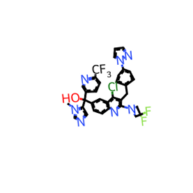 Cn1cncc1C(O)(c1ccc(C(F)(F)F)nc1)c1ccc2nc(N3CC(F)(F)C3)c(Cc3ccc(-n4cccn4)cc3)c(Cl)c2c1